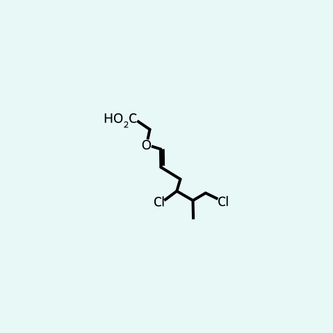 CC(CCl)C(Cl)C/C=C/OCC(=O)O